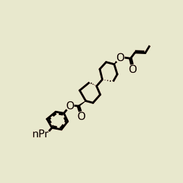 CC=CC(=O)O[C@H]1CC[C@H]([C@H]2CC[C@H](C(=O)Oc3ccc(CCC)cc3)CC2)CC1